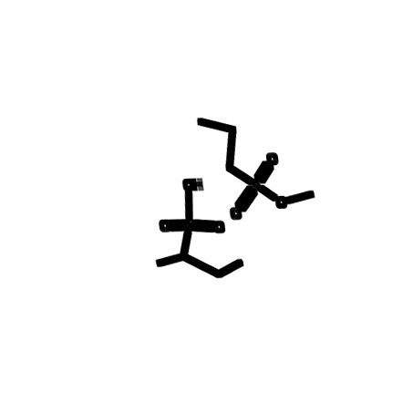 CCC(C)S(=O)(=O)O.CCCS(=O)(=O)OC